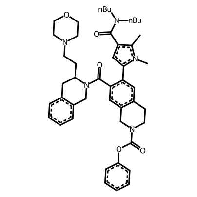 CCCCN(CCCC)C(=O)c1cc(-c2cc3c(cc2C(=O)N2Cc4ccccc4C[C@H]2CCN2CCOCC2)CN(C(=O)Oc2ccccc2)CC3)n(C)c1C